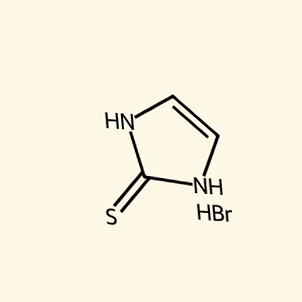 Br.S=c1[nH]cc[nH]1